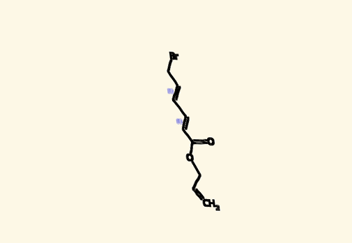 C=CCOC(=O)/C=C/C=C/CBr